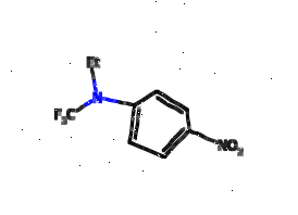 CCN(c1ccc([N+](=O)[O-])cc1)C(F)(F)F